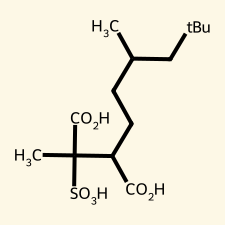 CC(CCC(C(=O)O)C(C)(C(=O)O)S(=O)(=O)O)CC(C)(C)C